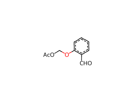 CC(=O)OCOc1ccccc1C=O